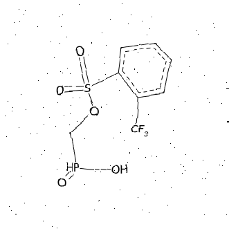 O=[PH](O)COS(=O)(=O)c1ccccc1C(F)(F)F